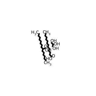 CCCCCCCCCC(CCCCCCC)C(=O)O.CCCCCCCCCCCCCC(=O)O.OCC(O)CO